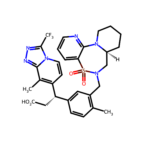 Cc1ccc([C@H](CC(=O)O)c2ccn3c(C(F)(F)F)nnc3c2C)cc1CN1C[C@@H]2CCCCN2c2ncccc2S1(=O)=O